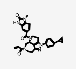 C=CC(=O)N1CCc2nn(-c3ccc(C4CC4)cc3)c3c2C(C1)N(C(=O)c1ccc2c(c1)[nH]c(=O)n2C)CC3